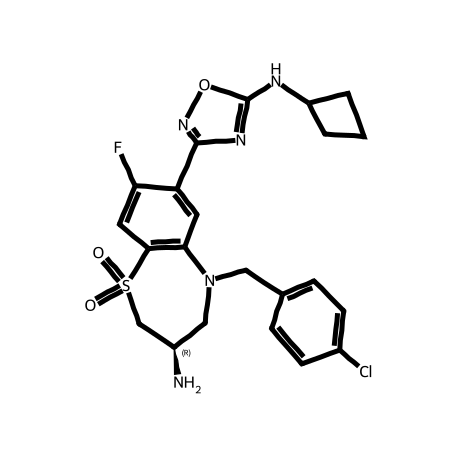 N[C@@H]1CN(Cc2ccc(Cl)cc2)c2cc(-c3noc(NC4CCC4)n3)c(F)cc2S(=O)(=O)C1